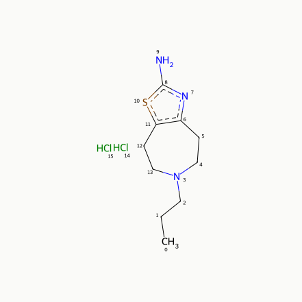 CCCN1CCc2nc(N)sc2CC1.Cl.Cl